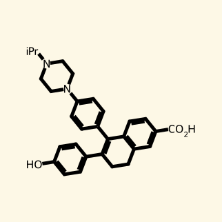 CC(C)N1CCN(c2ccc(C3=C(c4ccc(O)cc4)CCc4cc(C(=O)O)ccc43)cc2)CC1